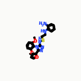 COc1cccc(OC)c1-n1c(NSCCNc2ccccc2N)nnc1-c1ccco1